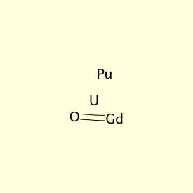 [O]=[Gd].[Pu].[U]